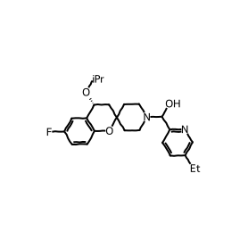 CCc1ccc(C(O)N2CCC3(CC2)C[C@@H](OC(C)C)c2cc(F)ccc2O3)nc1